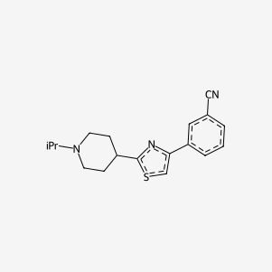 CC(C)N1CCC(c2nc(-c3cccc(C#N)c3)cs2)CC1